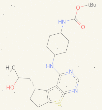 CC(O)C[C@H]1CCc2sc3ncnc(NC4CCC(NC(=O)OC(C)(C)C)CC4)c3c21